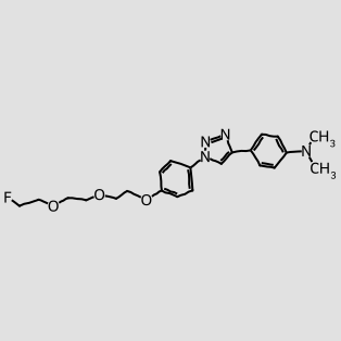 CN(C)c1ccc(-c2cn(-c3ccc(OCCOCCOCCF)cc3)nn2)cc1